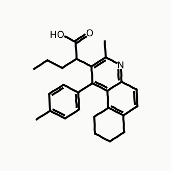 CCCC(C(=O)O)c1c(C)nc2ccc3c(c2c1-c1ccc(C)cc1)CCCC3